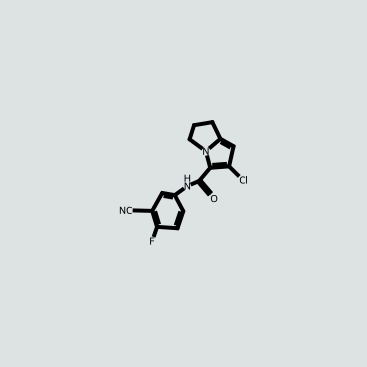 N#Cc1cc(NC(=O)c2c(Cl)cc3n2CCC3)ccc1F